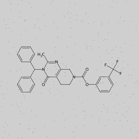 Cc1nc2c(c(=O)n1C(c1ccccc1)c1ccccc1)CCN(C(=O)Oc1cccc(C(F)(F)F)c1)C2